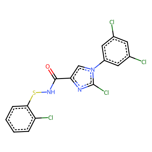 O=C(NSc1ccccc1Cl)c1cn(-c2cc(Cl)cc(Cl)c2)c(Cl)n1